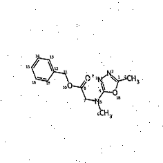 Cc1nnc(N(C)CC(=O)OCc2ccccc2)o1